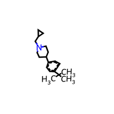 CC(C)(C)c1ccc(C2CCN(CC3CC3)CC2)cc1